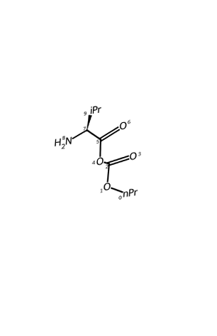 CCCOC(=O)OC(=O)[C@@H](N)C(C)C